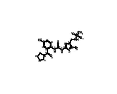 CS(=O)(=O)NCc1nc(NC(=O)Nc2ccc(Cl)cc2C(=O)C2CCCC2)sc1Br